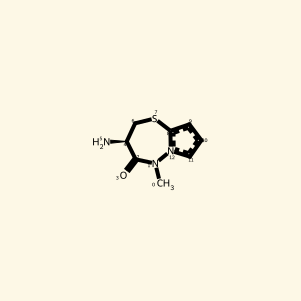 CN1C(=O)[C@@H](N)CSc2cccn21